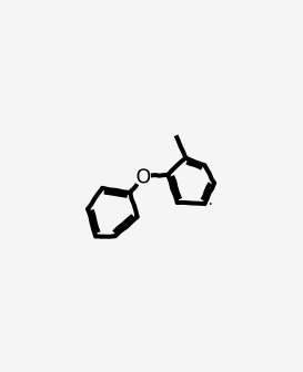 Cc1cc[c]cc1Oc1ccccc1